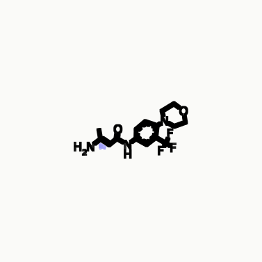 C/C(N)=C\C(=O)Nc1ccc(N2CCOCC2)c(C(F)(F)F)c1